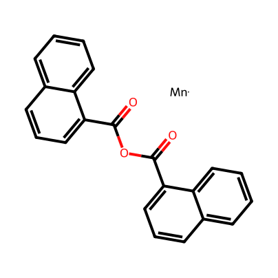 O=C(OC(=O)c1cccc2ccccc12)c1cccc2ccccc12.[Mn]